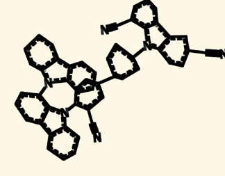 N#Cc1ccc2c(c1)c1cccc(C#N)c1n2-c1ccc(-c2ccc(-n3c4ccccc4c4cccc(-n5c6ccccc6c6ccccc65)c43)c(C#N)c2)cc1